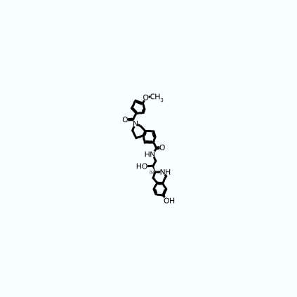 COc1ccc(C(=O)N2CCc3cc(C(=O)NCC(O)[C@@H]4Cc5ccc(O)cc5CN4)ccc3C2)cc1